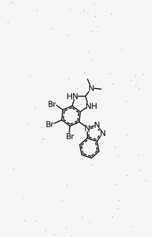 CN(C)C1Nc2c(Br)c(Br)c(Br)c(-n3nnc4ccccc43)c2N1